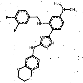 CN(C)c1ccc(-c2nnc(Nc3ccc4c(c3)OCCO4)o2)c(NCc2ccc(F)c(F)c2)c1